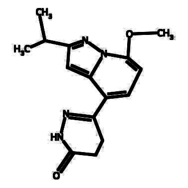 COc1ccc(C2=NNC(=O)CC2)c2cc(C(C)C)nn12